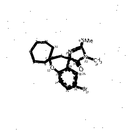 CSC1=NC2(CC3(CCCCCC3)Oc3ccc(Br)cc32)C(=O)N1C